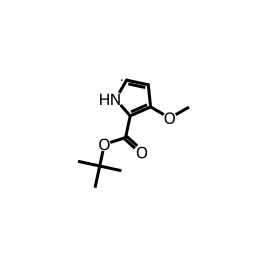 COc1c[c][nH]c1C(=O)OC(C)(C)C